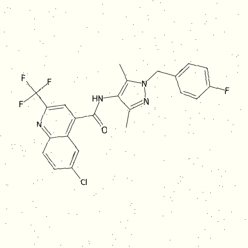 Cc1nn(Cc2ccc(F)cc2)c(C)c1NC(=O)c1cc(C(F)(F)F)nc2ccc(Cl)cc12